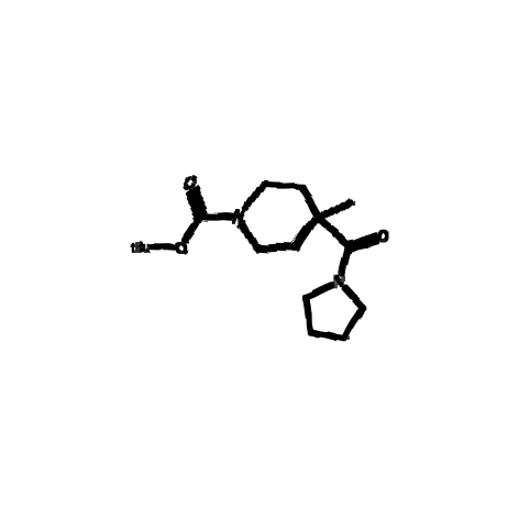 CC(C)(C)OC(=O)N1CCC(C)(C(=O)N2C[CH]CC2)CC1